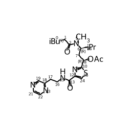 CC[C@H](C)CC(=O)N(C)[C@H](C[C@@H](OC(C)=O)c1nc(C(=O)NCCc2cnccn2)cs1)C(C)C